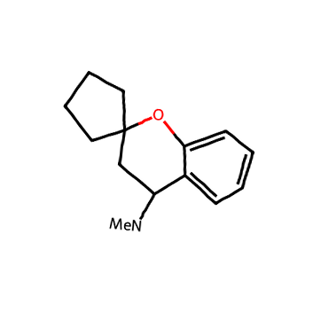 CNC1CC2(CCCC2)Oc2ccccc21